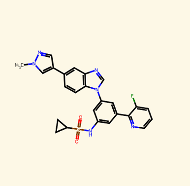 Cn1cc(-c2ccc3c(c2)ncn3-c2cc(NS(=O)(=O)C3CC3)cc(-c3ncccc3F)c2)cn1